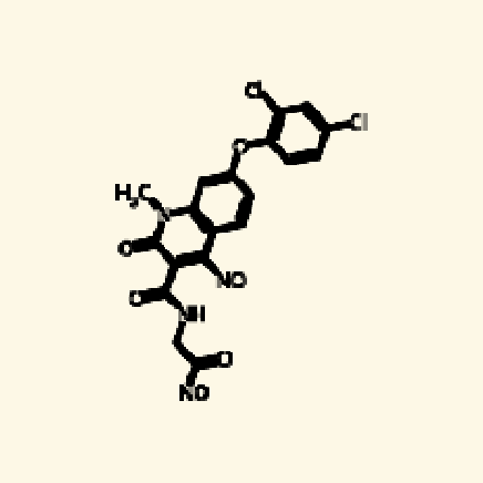 Cn1c(=O)c(C(=O)NCC(=O)N=O)c(N=O)c2ccc(Oc3ccc(Cl)cc3Cl)cc21